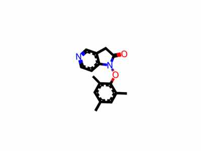 Cc1cc(C)c(ON2C(=O)Cc3cnccc32)c(C)c1